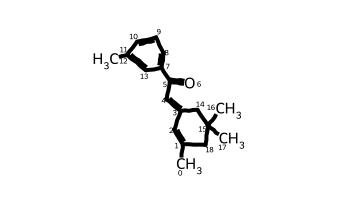 CC1=CC(=CC(=O)c2cccc(C)c2)CC(C)(C)C1